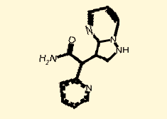 NC(=O)C(c1ccccn1)C1CNN2C=CC=NC12